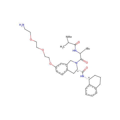 CNC(C)C(=O)NC(C(=O)N1Cc2cc(OCCOCCOCCN)ccc2C[C@H]1C(=O)N[C@@H]1CCCc2ccccc21)C(C)(C)C